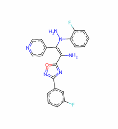 N/C(=C(/c1ccncc1)N(N)c1ccccc1F)c1nc(-c2cccc(F)c2)no1